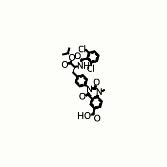 CC(C)OC(=O)[C@H](Cc1ccc(-n2c(=O)c3cc(C(=O)O)ccc3n(C)c2=O)cc1)NC(=O)c1c(Cl)cccc1Cl